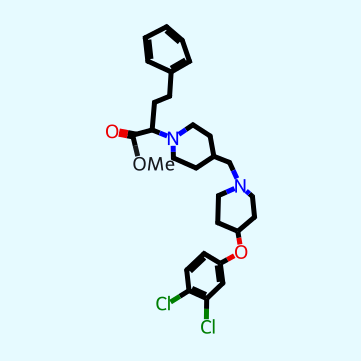 COC(=O)C(CCc1ccccc1)N1CCC(CN2CCC(Oc3ccc(Cl)c(Cl)c3)CC2)CC1